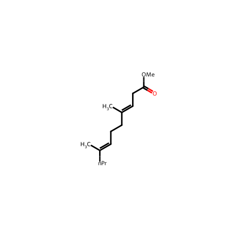 CCC/C(C)=C/CC/C(C)=C/CC(=O)OC